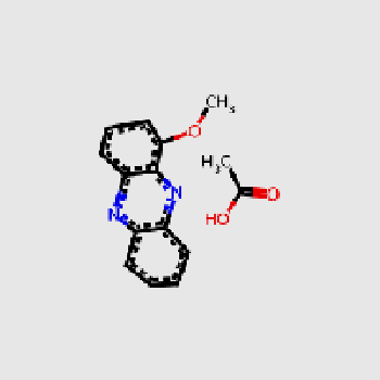 CC(=O)O.COc1cccc2nc3ccccc3nc12